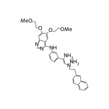 COCCOc1cc2ncnc(Nc3cccc(/C(N)=C/N(N)CCc4ccc5ccccc5c4)c3)c2cc1OCCOC